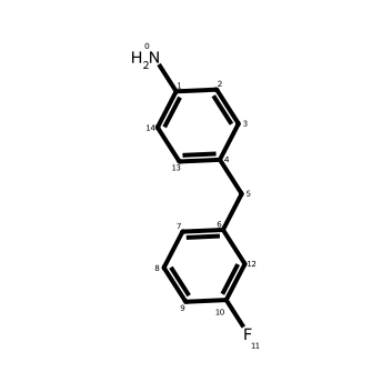 Nc1ccc(Cc2cccc(F)c2)cc1